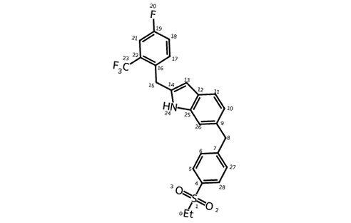 CCS(=O)(=O)c1ccc(Cc2ccc3cc(Cc4ccc(F)cc4C(F)(F)F)[nH]c3c2)cc1